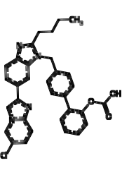 CCCCc1nc2ccc(-c3cn4cc(Cl)ccc4n3)cc2n1Cc1ccc(-c2ccccc2OC(=O)O)cc1